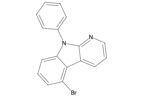 Brc1cccc2c1c1cccnc1n2-c1ccccc1